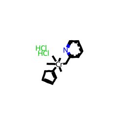 Cl.Cl.[CH3][Cr]([CH3])([CH3])([CH3])([CH2]c1ccccn1)[C]1=CC=CC1